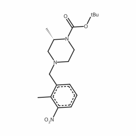 Cc1c(CN2CCN(C(=O)OC(C)(C)C)[C@@H](C)C2)cccc1[N+](=O)[O-]